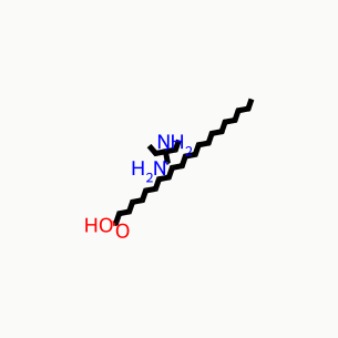 CCC(N)(CC)CN.CCCCCCCCCCCCCCCCCCCCCC(=O)O